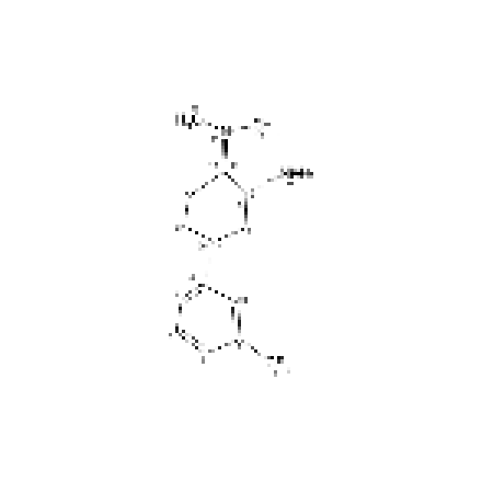 CN[C@@H]1C[C@H](c2cccc(C(F)(F)F)c2)CC[C@H]1N(C)C